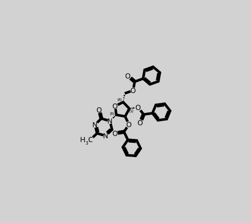 Cc1ncn([C@@H]2O[C@H](COC(=O)c3ccccc3)[C@H](OC(=O)c3ccccc3)C2OC(=O)c2ccccc2)c(=O)n1